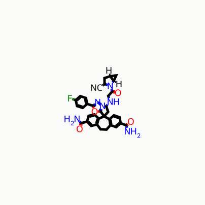 N#CC1C[C@@H]2C[C@@H]2N1C(=O)CNCCC1(c2nnc(-c3ccc(F)cc3)o2)c2ccc(C(N)=O)cc2CCc2cc(C(N)=O)ccc21